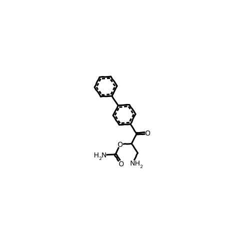 NCC(OC(N)=O)C(=O)c1ccc(-c2ccccc2)cc1